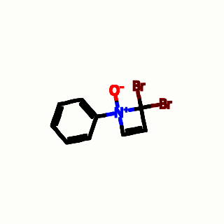 [O-][N+]1(c2ccccc2)C=CC1(Br)Br